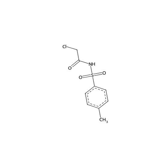 Cc1ccc(S(=O)(=O)NC(=O)CCl)cc1